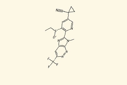 CC[S+]([O-])c1cc(C2(C#N)CC2)cnc1-c1nc2cc(C(F)(F)F)nnc2n1C